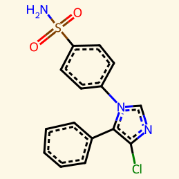 NS(=O)(=O)c1ccc(-n2cnc(Cl)c2-c2ccccc2)cc1